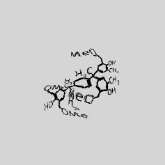 COCc1cc(C(C)(c2ccc(C(C)(C)c3cc(COC)c(O)c(COC)c3)cc2)c2cc(C)c(O)c(COC)c2)cc(C)c1O